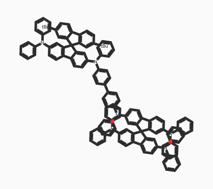 CC(C)(C)c1ccc2c(c1)C1(c3cc(N(c4ccccc4)c4ccccc4)ccc3-c3ccc(N(c4ccccc4)c4ccc(-c5ccc(N(c6ccccc6)c6ccc7c(c6)C6(c8cc(N(c9ccccc9)c9ccccc9)ccc8-c8ccc(N(c9ccccc9)c9ccccc9)cc86)c6cc(N(c8ccccc8)c8ccccc8)ccc6-7)cc5)cc4)cc31)c1cc(C(C)(C)C)ccc1-2